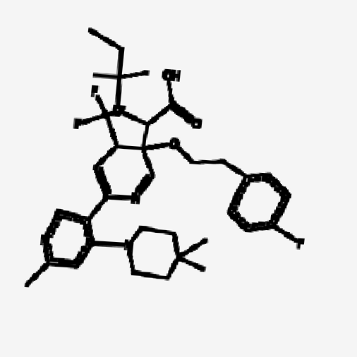 CCC(C)(C)OC(C(=O)O)C1(OCCc2ccc(F)cc2)C=NC(c2cnc(C)cc2N2CCC(C)(C)CC2)=CC1C(F)(F)F